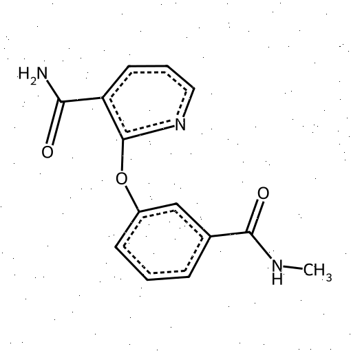 CNC(=O)c1cccc(Oc2ncccc2C(N)=O)c1